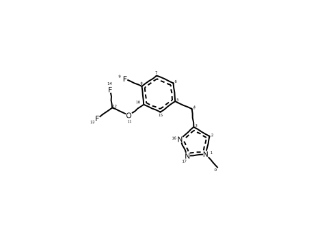 Cn1cc([CH]c2ccc(F)c(OC(F)F)c2)nn1